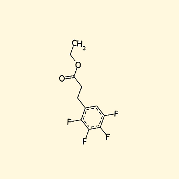 CCOC(=O)CCc1cc(F)c(F)c(F)c1F